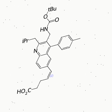 Cc1ccc(-c2c(CNC(=O)OC(C)(C)C)c(CC(C)C)nc3ccc(/C=C\CCC(=O)O)cc23)cc1